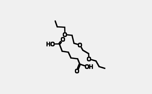 CCCOCCOCCOCCC.O=C(O)CCCCC(=O)O